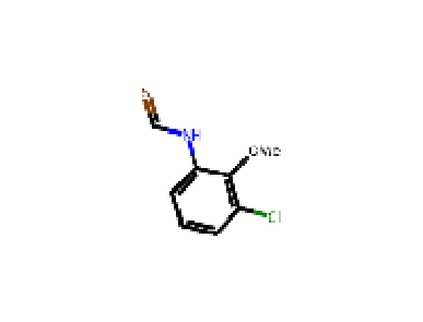 COc1c(Cl)cccc1NC=S